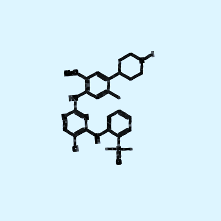 COc1cc(C2CCN(I)CC2)c(C)cc1Nc1ncc(Cl)c(Nc2ccccc2P(C)(C)=O)n1